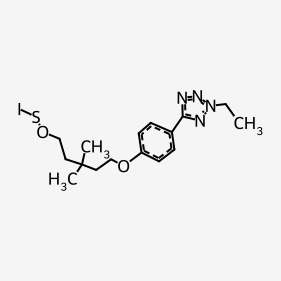 CCn1nnc(-c2ccc(OCCC(C)(C)CCOSI)cc2)n1